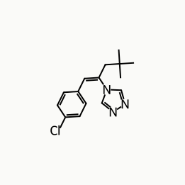 CC(C)(C)CC(=Cc1ccc(Cl)cc1)n1cnnc1